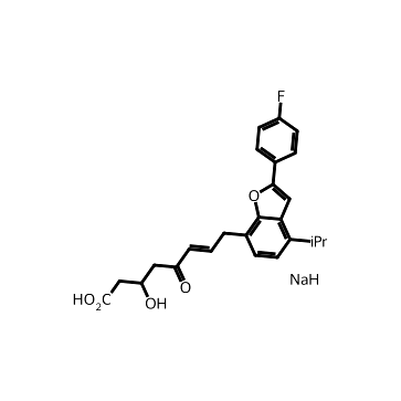 CC(C)c1ccc(CC=CC(=O)CC(O)CC(=O)O)c2oc(-c3ccc(F)cc3)cc12.[NaH]